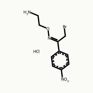 Cl.NCCON=C(CBr)c1ccc([N+](=O)[O-])cc1